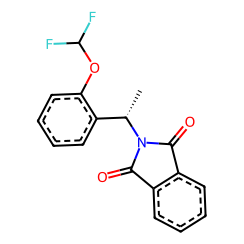 C[C@@H](c1ccccc1OC(F)F)N1C(=O)c2ccccc2C1=O